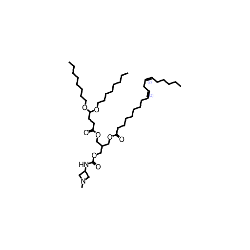 CCCCC/C=C\C/C=C\CCCCCCCC(=O)OCC(COC(=O)CCC(OCCCCCCCC)OCCCCCCCC)COC(=O)NC1CN(C)C1